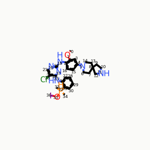 COc1cc(N2CCC3(CCNC3)CC2)ccc1Nc1ncc(Cl)c(Nc2ccccc2[PH](C)(C)OI)n1